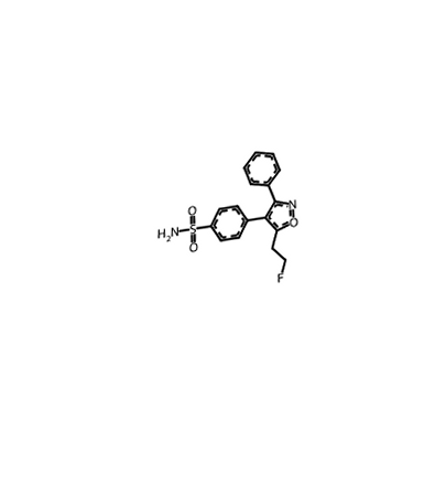 NS(=O)(=O)c1ccc(-c2c(-c3ccccc3)noc2CCF)cc1